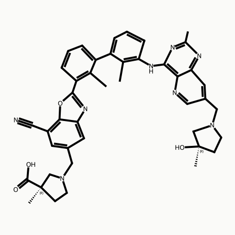 Cc1nc(Nc2cccc(-c3cccc(-c4nc5cc(CN6CC[C@@](C)(C(=O)O)C6)cc(C#N)c5o4)c3C)c2C)c2ncc(CN3CC[C@@](C)(O)C3)cc2n1